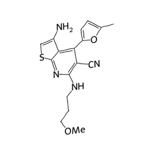 COCCCNc1nc2scc(N)c2c(-c2ccc(C)o2)c1C#N